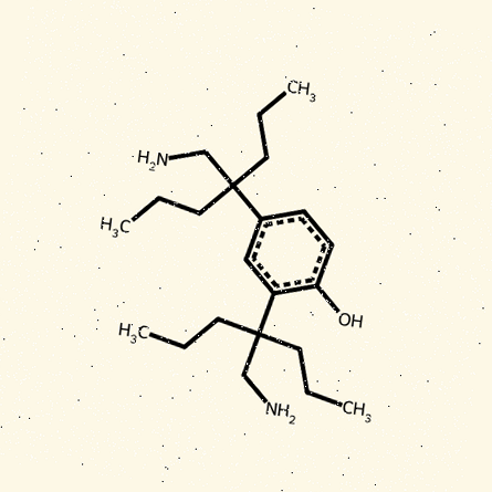 CCCC(CN)(CCC)c1ccc(O)c(C(CN)(CCC)CCC)c1